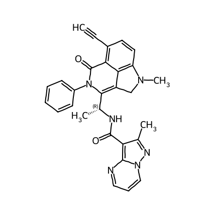 C#Cc1ccc2c3c(c([C@@H](C)NC(=O)c4c(C)nn5cccnc45)n(-c4ccccc4)c(=O)c13)CN2C